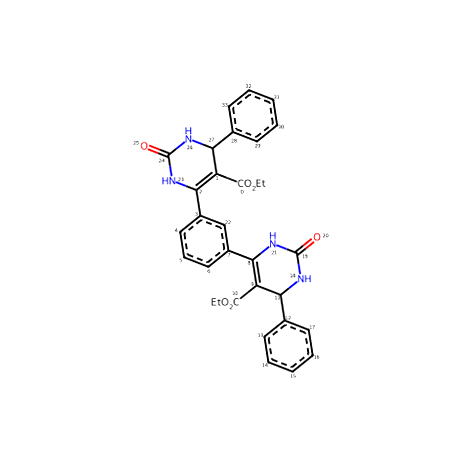 CCOC(=O)C1=C(c2cccc(C3=C(C(=O)OCC)C(c4ccccc4)NC(=O)N3)c2)NC(=O)NC1c1ccccc1